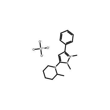 CC1CCCCN1c1cc(-c2ccccc2)[n+](C)n1C.[O-][Cl+3]([O-])([O-])[O-]